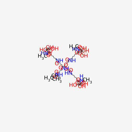 CC(=O)NC1[C@H](OCCCCCCNC(=O)CCCCC(COCCC(=O)NCCCCCCO[C@@H]2OC(CO)[C@H](O)[C@H](O)C2NC(C)=O)(COCCC(=O)NCCCCCCO[C@@H]2OC(CO)[C@H](O)[C@H](O)C2NC(C)=O)NC(=O)CCCC(=O)NCOC(C)(C)C)OC(CO)[C@H](O)[C@@H]1O